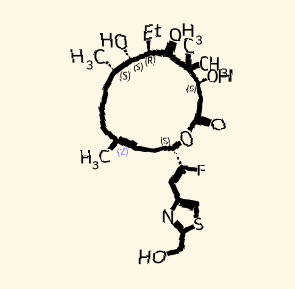 CC[C@H]1C(=O)C(C)(C)[C@@H](O)CC(=O)O[C@H](C(F)=Cc2csc(CO)n2)C/C=C(/C)CCC[C@H](C)[C@@H]1O